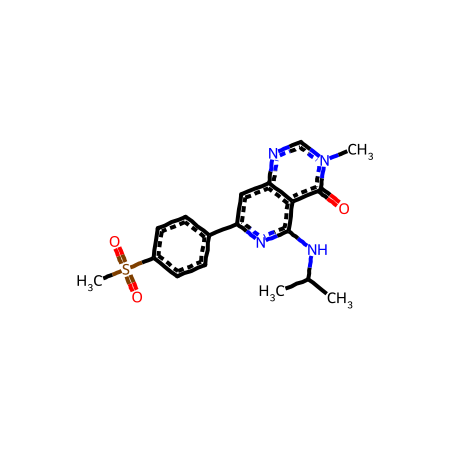 CC(C)Nc1nc(-c2ccc(S(C)(=O)=O)cc2)cc2ncn(C)c(=O)c12